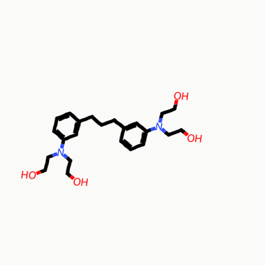 OCCN(CCO)c1cccc(CCCc2cccc(N(CCO)CCO)c2)c1